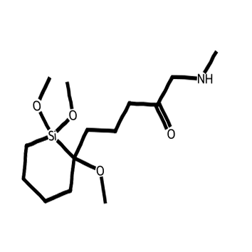 CNCC(=O)CCCC1(OC)CCCC[Si]1(OC)OC